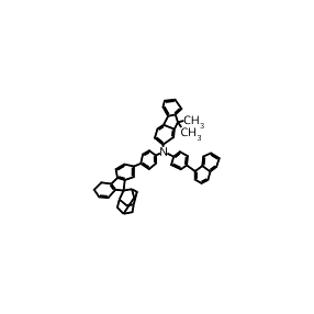 CC1(C)c2ccccc2-c2ccc(N(c3ccc(-c4ccc5c(c4)C4(C6=C5CCC=C6)C5CC6CC(C5)CC4C6)cc3)c3ccc(-c4cccc5ccccc45)cc3)cc21